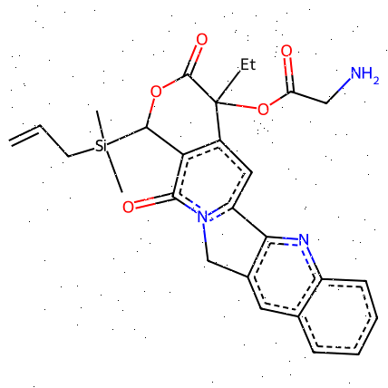 C=CC[Si](C)(C)C1OC(=O)C(CC)(OC(=O)CN)c2cc3n(c(=O)c21)Cc1cc2ccccc2nc1-3